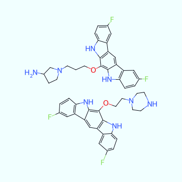 Fc1ccc2[nH]c3c(OCCN4CCNCC4)c4[nH]c5ccc(F)cc5c4cc3c2c1.NC1CCN(CCCOc2c3[nH]c4ccc(F)cc4c3cc3c2[nH]c2ccc(F)cc23)C1